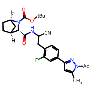 CC(=O)n1nc(-c2ccc(CC(C#N)NC(=O)[C@@H]3[C@H]4CC[C@H](C4)N3C(=O)OC(C)(C)C)c(F)c2)cc1C